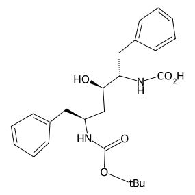 CC(C)(C)OC(=O)N[C@@H](Cc1ccccc1)C[C@@H](O)[C@H](Cc1ccccc1)NC(=O)O